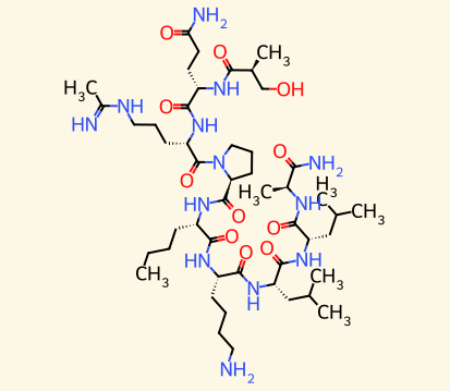 CCCC[C@H](NC(=O)[C@@H]1CCCN1C(=O)[C@H](CCCNC(C)=N)NC(=O)[C@H](CCC(N)=O)NC(=O)[C@@H](C)CO)C(=O)N[C@@H](CCCCN)C(=O)N[C@@H](CC(C)C)C(=O)N[C@@H](CC(C)C)C(=O)N[C@@H](C)C(N)=O